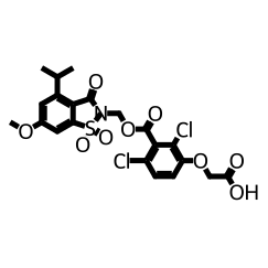 COc1cc(C(C)C)c2c(c1)S(=O)(=O)N(COC(=O)c1c(Cl)ccc(OCC(=O)O)c1Cl)C2=O